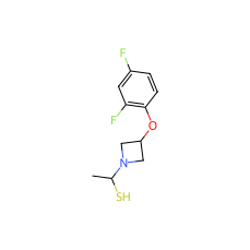 CC(S)N1CC(Oc2ccc(F)cc2F)C1